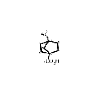 CC(=O)C12CCC(C(=O)O)(CC1)C2